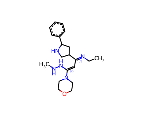 CC/N=C(\C=C(/NNC)N1CCOCC1)C1CNC(c2ccccc2)C1